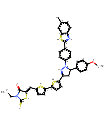 CCCCCCOc1ccc(C2CC(c3ccc(-c4ccc(/C=C5\SC(=S)N(CC(=O)O)C5=O)s4)s3)=NN2c2ccc(-c3nc4ccc(C)cc4s3)cc2)cc1